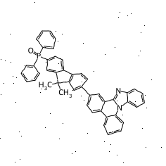 CC1(C)c2cc(-c3ccc4c5ccccc5n5c6ccccc6nc5c4c3)ccc2-c2ccc(P(=O)(c3ccccc3)c3ccccc3)cc21